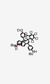 CCOc1ccc(/C(=C\C2(/C=C(/c3ccc(NC(C)CC)cc3)c3ccc(OCC)cc3)OC(=O)c3c(Cl)c(Cl)c(Cl)c(Cl)c32)c2ccc(NC(C)CC)cc2)cc1